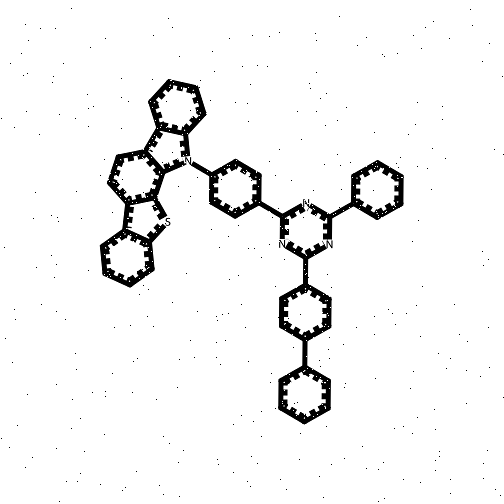 c1ccc(-c2ccc(-c3nc(-c4ccccc4)nc(-c4ccc(-n5c6ccccc6c6ccc7c8ccccc8sc7c65)cc4)n3)cc2)cc1